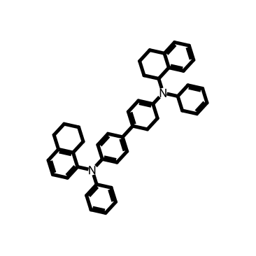 C1=CCC(N(C2=CC=C(c3ccc(N(c4ccccc4)c4cccc5c4CCCC5)cc3)CC2)C2CCCc3ccccc32)C=C1